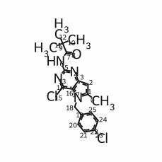 Cc1cc2nc(NC(=O)C(C)(C)C)nc(Cl)c2n1Cc1ccc(Cl)cc1